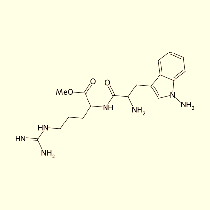 COC(=O)C(CCCNC(=N)N)NC(=O)C(N)Cc1cn(N)c2ccccc12